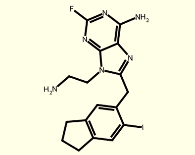 NCCn1c(Cc2cc3c(cc2I)CCC3)nc2c(N)nc(F)nc21